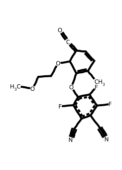 COCCOC1C(=C=O)C=CC(C)=C1Oc1c(F)c(F)c(C#N)c(C#N)c1F